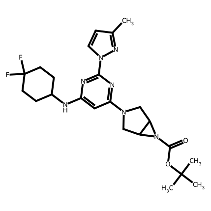 Cc1ccn(-c2nc(NC3CCC(F)(F)CC3)cc(N3CC4C(C3)N4C(=O)OC(C)(C)C)n2)n1